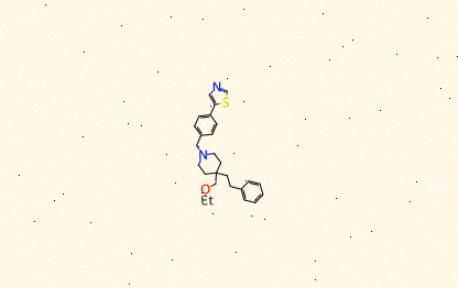 CCOCC1(CCc2ccccc2)CCN(Cc2ccc(-c3cncs3)cc2)CC1